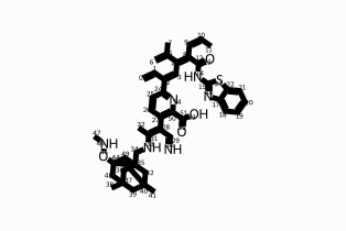 C=C\C(=C/C(C(=C)C)=C(/C=C\C)C(=O)Nc1nc2ccccc2s1)c1ccc(/C(C=N)=C(\C)NCC23CC4(C)CC(C)(C2)CC(ONC)(C4)C3)c(C(=O)O)n1